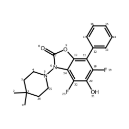 CC1(C)CCN(n2c(=O)oc3c(-c4ccccc4)c(F)c(O)c(F)c32)CC1